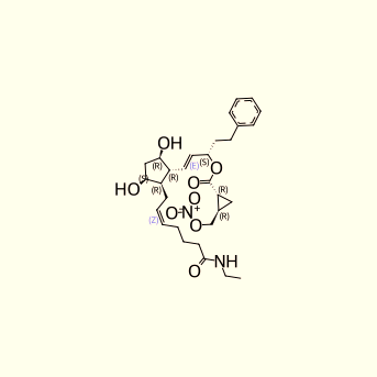 CCNC(=O)CCC/C=C\C[C@@H]1[C@@H](/C=C/[C@H](CCc2ccccc2)OC(=O)[C@@H]2C[C@H]2CO[N+](=O)[O-])[C@H](O)C[C@@H]1O